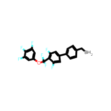 BCc1ccc(-c2cc(F)c(C(F)(F)Oc3cc(F)c(F)c(F)c3)c(F)c2)cc1